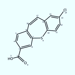 O=C(O)c1ccc2c(c1)Sc1ccc(Cl)cc1C=C2